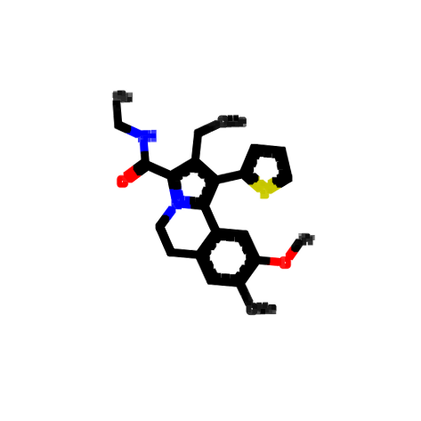 COCc1c(-c2cccs2)c2n(c1C(=O)NCC(C)(C)C)CCc1cc(OC)c(OC(C)C)cc1-2